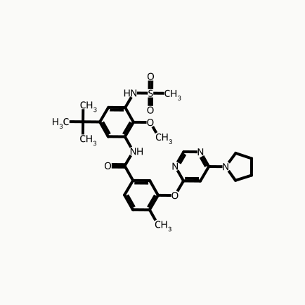 COc1c(NC(=O)c2ccc(C)c(Oc3cc(N4CCCC4)ncn3)c2)cc(C(C)(C)C)cc1NS(C)(=O)=O